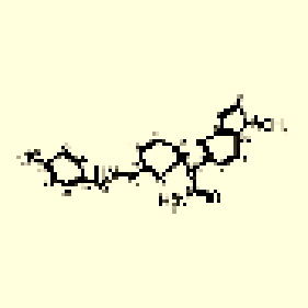 Cn1ccc2cc(N(C(N)=O)c3cccc(CNCc4ccc(Cl)cc4)c3)ccc21